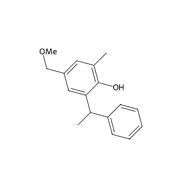 COCc1cc(C)c(O)c(C(C)c2ccccc2)c1